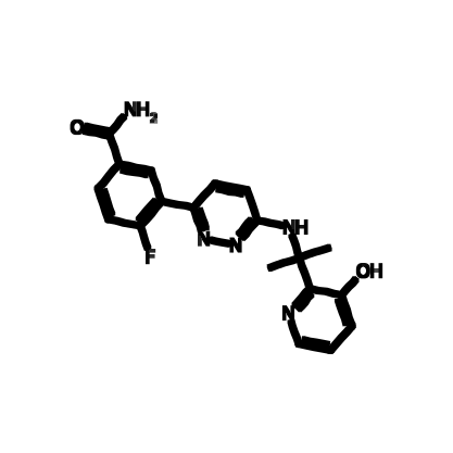 CC(C)(Nc1ccc(-c2cc(C(N)=O)ccc2F)nn1)c1ncccc1O